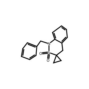 O=S1(=O)N(Cc2ccccc2)c2ccccc2CC12CC2